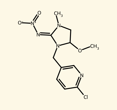 COC1CN(C)/C(=N\[N+](=O)[O-])N1Cc1ccc(Cl)nc1